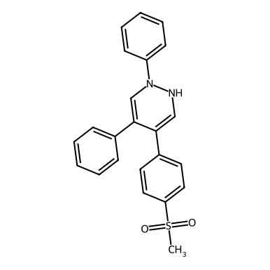 CS(=O)(=O)c1ccc(C2=CNN(c3ccccc3)C=C2c2ccccc2)cc1